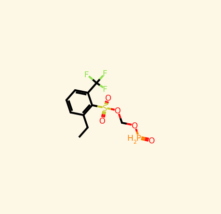 CCc1cccc(C(F)(F)F)c1S(=O)(=O)OCO[PH2]=O